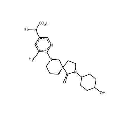 CCN(C(=O)O)c1cnc(N2CCC[C@]3(CCN(C4CCC(O)CC4)C3=O)C2)c(C)c1